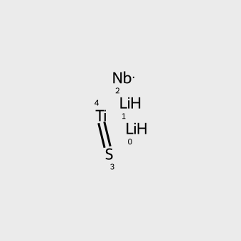 [LiH].[LiH].[Nb].[S]=[Ti]